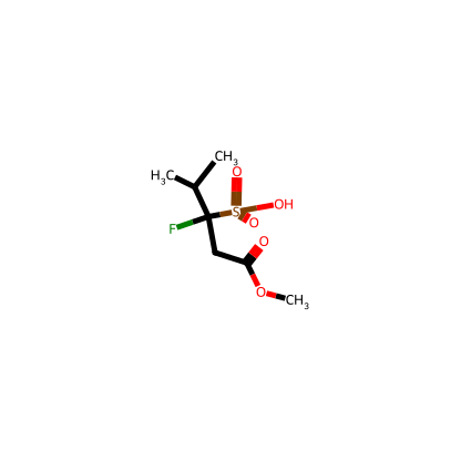 COC(=O)CC(F)(C(C)C)S(=O)(=O)O